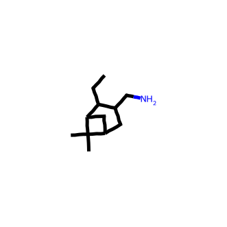 CCC1C(CN)CC2CC1C2(C)C